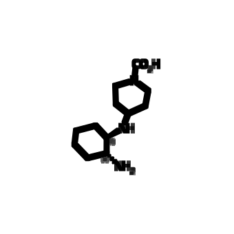 N[C@@H]1CCCC[C@H]1NC1CCN(C(=O)O)CC1